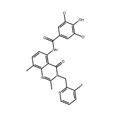 Cc1ccc(NC(=O)c2cc(Cl)c(O)c(Cl)c2)c2c(=O)n(Cc3ncccc3F)c(C)nc12